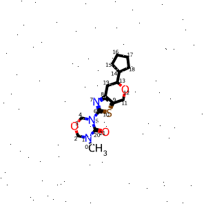 CN1COCN(c2nc3c(s2)COC(C2CCCC2)C3)C1=O